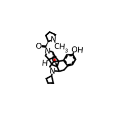 CN1CCC[C@@H]1C(=O)N1C[C@H]2CC34CCC1C2C31CCN(C2CCC2)C4Cc2ccc(O)cc21